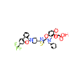 COc1cccc(CN(Cc2ccccc2)C(=O)c2csc(C3CCN(C(=O)c4ccccc4-c4ccc(C(F)(F)F)cc4)CC3)n2)c1OCC(=O)O